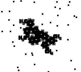 COc1cccc(N(c2cccc(C)c2)c2ccc3cc4c5ccc(N(c6cccc(C)c6)c6cccc(OC)c6)cc5n5c6c7ccccc7ccc6c(c3c2)c45)c1